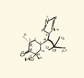 C[C@@H]1CC(C(C2C=NC=N2)C(C)(C)C)C[C@](C)(O)C1=O